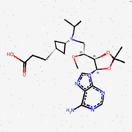 CO[C@H](CN(C(C)C)[C@H]1C[C@@H](CCC(=O)O)C1)[C@H]1OC(C)(C)O[C@H]1n1cnc2c(N)ncnc21